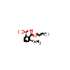 CCCCOC(=O)c1c([AsH2])cccc1B(O)O